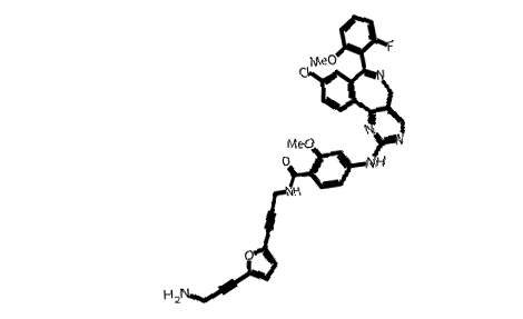 COc1cc(Nc2ncc3c(n2)-c2ccc(Cl)cc2C(c2c(F)cccc2OC)=NC3)ccc1C(=O)NCC#Cc1ccc(C#CCN)o1